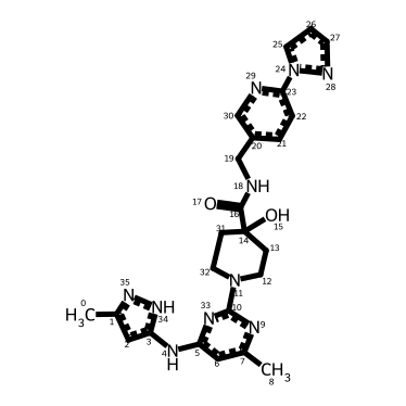 Cc1cc(Nc2cc(C)nc(N3CCC(O)(C(=O)NCc4ccc(-n5cccn5)nc4)CC3)n2)[nH]n1